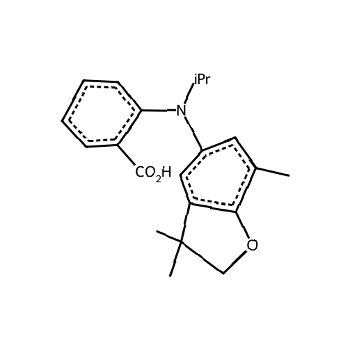 Cc1cc(N(c2ccccc2C(=O)O)C(C)C)cc2c1OCC2(C)C